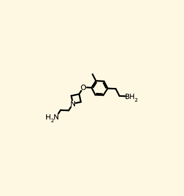 BCCc1ccc(OC2CN(CCN)C2)c(C)c1